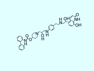 O=C(Nc1ccccc1-c1ccccc1)OC1CCN(CC(O)CNc2ccc(CCNC[C@@H](O)c3ccc(O)c4[nH]c(=O)ccc34)cc2)CC1